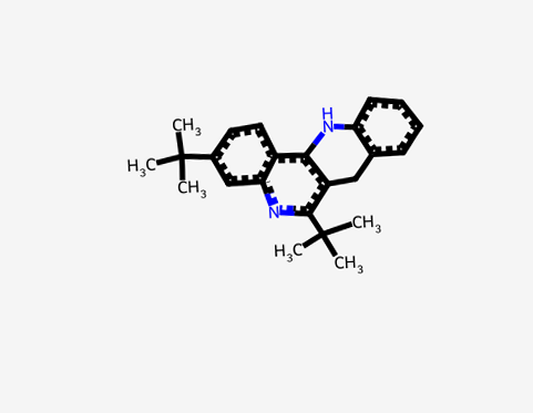 CC(C)(C)c1ccc2c3c(c(C(C)(C)C)nc2c1)Cc1ccccc1N3